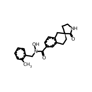 Cc1ccccc1CN(O)C(=O)c1ccc2c(c1)CC[C@]1(CCNC1=O)C2